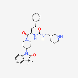 CC1(C)C(=O)N(C2CCN(C(=O)C(CCc3ccccc3)NC(=O)NCC3CCCNC3)CC2)c2ccccc21